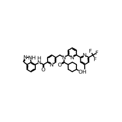 Cc1cc(-c2cccc(N(Cc3ccc(C(=O)Nc4cccc5cn[nH]c45)nc3)C(=O)C3CCC(O)CC3)n2)nc(C(F)(F)F)c1